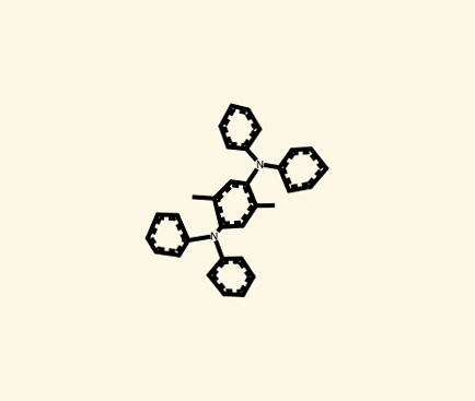 Cc1cc(N(c2ccccc2)c2ccccc2)c(C)cc1N(c1ccccc1)c1ccccc1